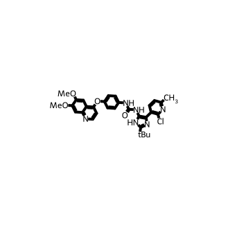 COc1cc2nccc(Oc3ccc(NC(=O)Nc4[nH]c(C(C)(C)C)nc4-c4ccc(C)nc4Cl)cc3)c2cc1OC